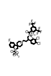 CN(CC(CCN1CCC2(CC1)CN(S(C)(=O)=O)c1ccc(F)cc12)c1ccc(Cl)c(Cl)c1)C(=O)c1cc(C(F)(F)F)cc(C(F)(F)F)c1